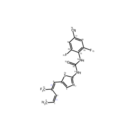 C/C=C\C(=C/c1cnc(NC(=O)Nc2c(F)cc(C#N)cc2F)s1)C(F)(F)F